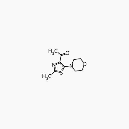 CC(=O)c1nc(C)sc1N1CCOCC1